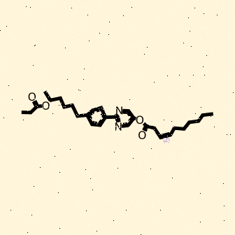 CCCCCC/C=C\CC(=O)Oc1cnc(-c2ccc(CCCCC(C)OC(=O)CC)cc2)nc1